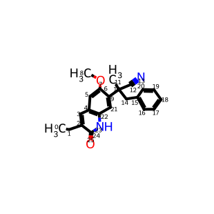 CCc1cc2cc(OC)c(C(C)(C#N)Cc3ccccc3)cc2[nH]c1=O